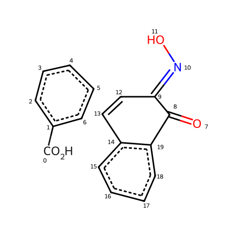 O=C(O)c1ccccc1.O=C1C(=NO)C=Cc2ccccc21